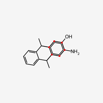 CC12c3ccccc3C(C)(c3ccccc31)c1cc(O)c(N)cc12